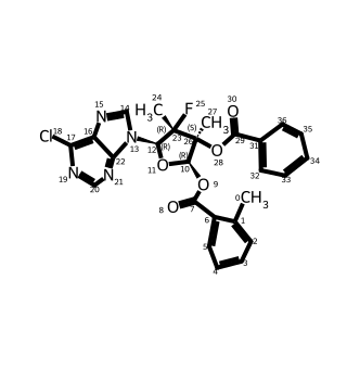 Cc1ccccc1C(=O)O[C@H]1O[C@@H](n2cnc3c(Cl)ncnc32)[C@](C)(F)[C@@]1(C)OC(=O)c1ccccc1